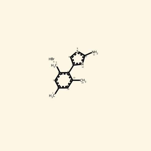 Br.Cc1cc(C)c(-c2csc(N)n2)c(C)c1